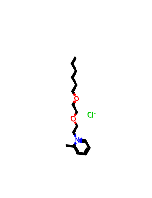 CCCCCCOCCOCC[n+]1ccccc1C.[Cl-]